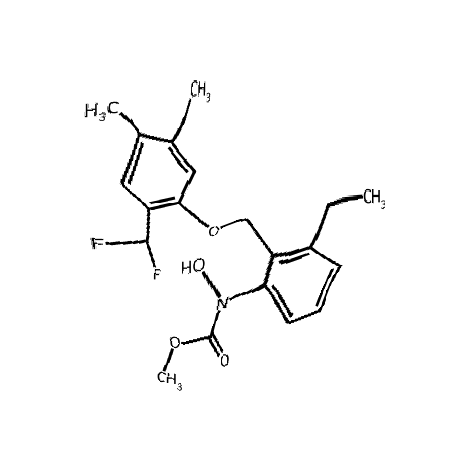 CCc1cccc(N(O)C(=O)OC)c1COc1cc(C)c(C)cc1C(F)F